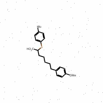 COc1ccc(CCCCCC(Sc2ccc(C(C)(C)C)cc2)C(=O)O)cc1